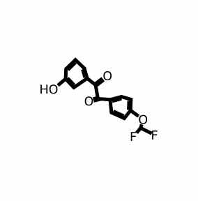 O=C(C(=O)c1cccc(O)c1)c1ccc(OC(F)F)cc1